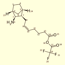 N[C@H]1[C@@H]2CC[C@@H](C2)[C@H]1C/C=C\CCCC(=O)OC(=O)C(F)(F)F